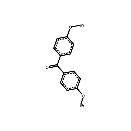 CC(C)Oc1ccc(C(=O)c2ccc(OC(C)C)cc2)cc1